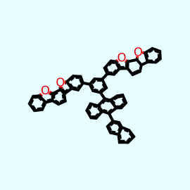 C1=CC2c3ccccc3OC2c2oc3ccc(-c4cc(-c5ccc6oc7c(ccc8c9ccccc9oc87)c6c5)cc(-c5c6ccccc6c(-c6ccc7ccccc7c6)c6ccccc56)c4)cc3c21